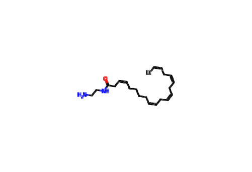 CC/C=C\C/C=C\C/C=C\C/C=C\CCCC/C=C\CC(=O)NCCN